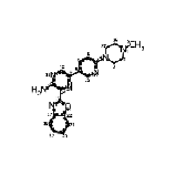 CN1CCN(c2ccc(-c3cnc(N)c(-c4nc5ccccc5o4)n3)cn2)CC1